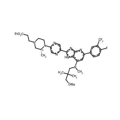 CCOC(=O)CCN1CCN(c2cnc(-c3nc4nc(-c5ccc(F)c(C(F)(F)F)c5)cc(N(C)CC(C)(C)COC)c4[nH]3)cn2)[C@H](C)C1